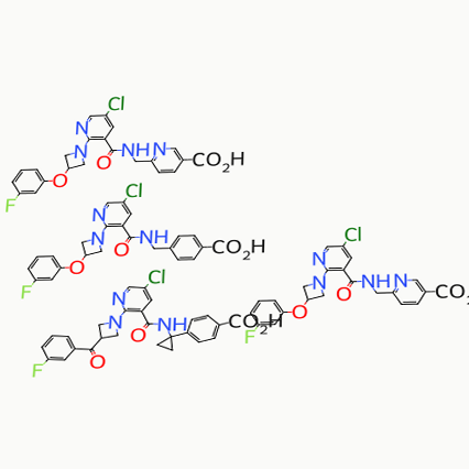 O=C(O)c1ccc(C2(NC(=O)c3cc(Cl)cnc3N3CC(C(=O)c4cccc(F)c4)C3)CC2)cc1.O=C(O)c1ccc(CNC(=O)c2cc(Cl)cnc2N2CC(Oc3cccc(F)c3)C2)cc1.O=C(O)c1ccc(CNC(=O)c2cc(Cl)cnc2N2CC(Oc3cccc(F)c3)C2)nc1.O=C(O)c1ccc(CNC(=O)c2cc(Cl)cnc2N2CC(Oc3cccc(F)c3)C2)nc1